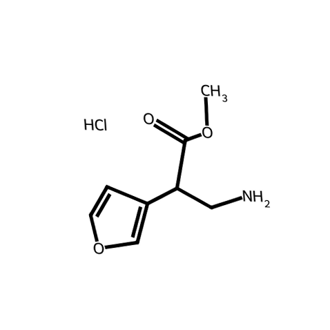 COC(=O)C(CN)c1ccoc1.Cl